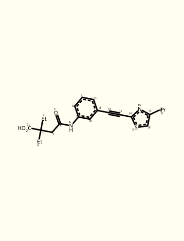 CCC(CC)(CC(=O)Nc1cccc(C#Cc2nc(C(C)C)cs2)c1)C(=O)O